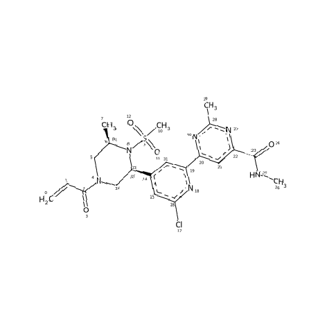 C=CC(=O)N1C[C@@H](C)N(S(C)(=O)=O)[C@@H](c2cc(Cl)nc(-c3cc(C(=O)NC)nc(C)n3)c2)C1